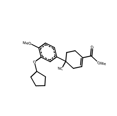 COC(=O)C1=CCC(C#N)(c2ccc(OC)c(OC3CCCC3)c2)CC1